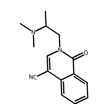 CC(Cn1cc(C#N)c2ccccc2c1=O)N(C)C